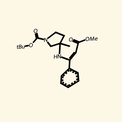 COC(=O)C=C(NC1(C)CCN(C(=O)OC(C)(C)C)C1)c1ccccc1